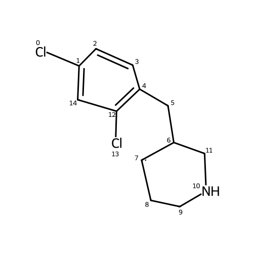 Clc1ccc(CC2[CH]CCNC2)c(Cl)c1